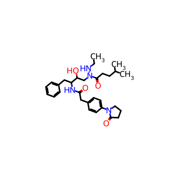 CCNN(CC(O)C(Cc1ccccc1)NC(=O)Cc1ccc(N2CCCC2=O)cc1)C(=O)CCC(C)C